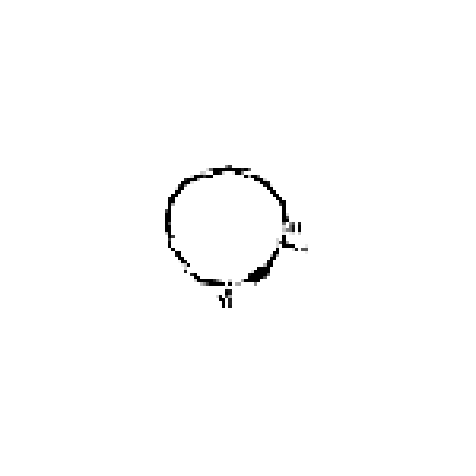 [2H]N1C#C[SH]([2H])CCCCCCCCCCCN1